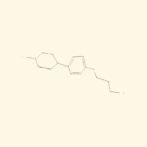 CCCCC1CCC(c2ccc(CCCCC(F)(F)F)cc2)CC1